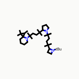 CC1C(C)(C)C12CCCCN2C(C)(C)CCC(C)(C)C1CCCN1C(C)(C)CCC(C)(C)C1CCN1C(C)(C)C